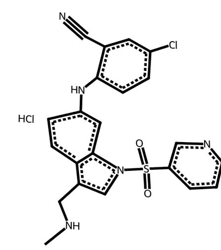 CNCc1cn(S(=O)(=O)c2cccnc2)c2cc(Nc3ccc(Cl)cc3C#N)ccc12.Cl